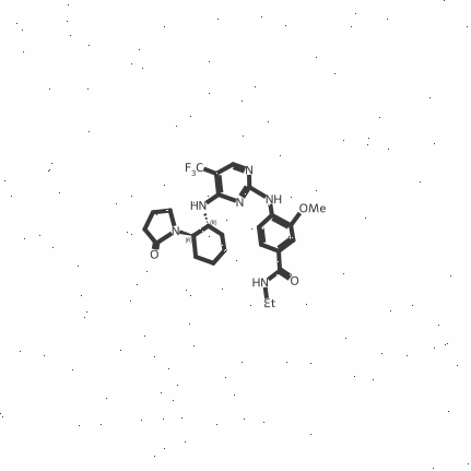 CCNC(=O)c1ccc(Nc2ncc(C(F)(F)F)c(N[C@@H]3CCCC[C@H]3N3CCCC3=O)n2)c(OC)c1